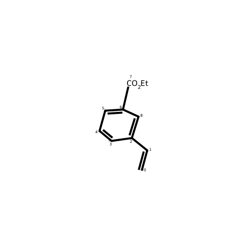 C=Cc1[c]ccc(C(=O)OCC)c1